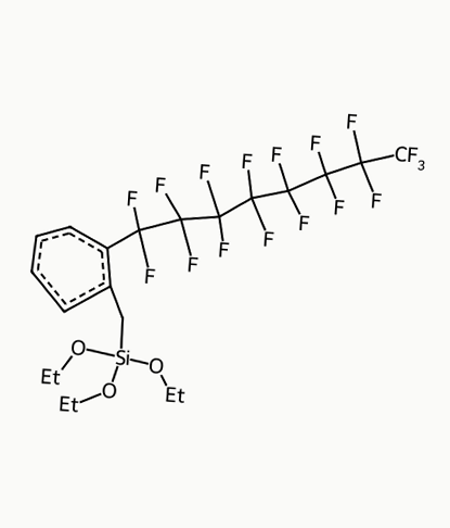 CCO[Si](Cc1ccccc1C(F)(F)C(F)(F)C(F)(F)C(F)(F)C(F)(F)C(F)(F)C(F)(F)C(F)(F)F)(OCC)OCC